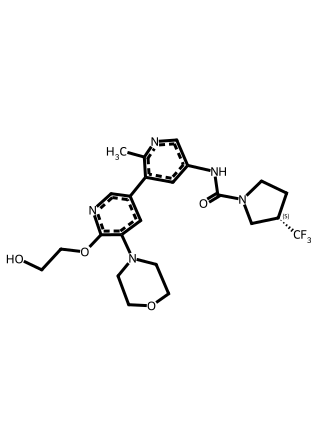 Cc1ncc(NC(=O)N2CC[C@H](C(F)(F)F)C2)cc1-c1cnc(OCCO)c(N2CCOCC2)c1